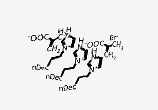 C=C(C)C(=O)[O-].C=C(C)C(=O)[O-].CCCCCCCCCCCC[n+]1cc[nH]c1.CCCCCCCCCCCC[n+]1cc[nH]c1.CCCCCCCCCCCC[n+]1cc[nH]c1.[Br-]